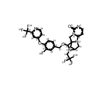 O=c1nccc2n1CC13CC(CN21)N(CC(F)(F)F)C3OCc1ccc(Oc2ccnc(C(F)(F)F)c2)c(F)c1